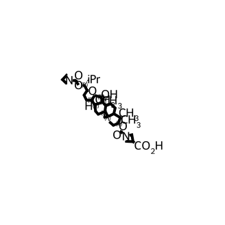 CC(C)[C@@H](OC(=O)N1CCC1)C1CC[C@H]2C(O1)[C@H](O)[C@@]1(C)C3CCC4C(C)(C)[C@@H](OC(=O)N5CC(C(=O)O)C5)CC[C@@]45C[C@@]35CC[C@]21C